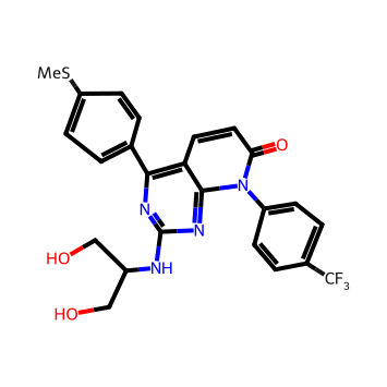 CSc1ccc(-c2nc(NC(CO)CO)nc3c2ccc(=O)n3-c2ccc(C(F)(F)F)cc2)cc1